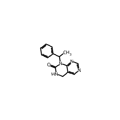 CC(c1ccccc1)N1C(=O)NCc2cncnc21